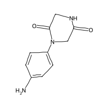 Nc1ccc(N2CC(=O)NCC2=O)cc1